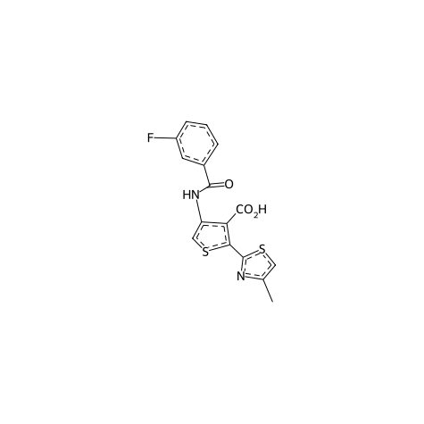 Cc1csc(-c2scc(NC(=O)c3cccc(F)c3)c2C(=O)O)n1